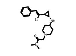 CC/C(=C\c1ccccc1)[C@H]1C[C@@H]1NC1CCN(CC(=O)N(C)C)CC1